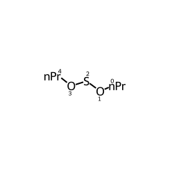 CCCOSOCCC